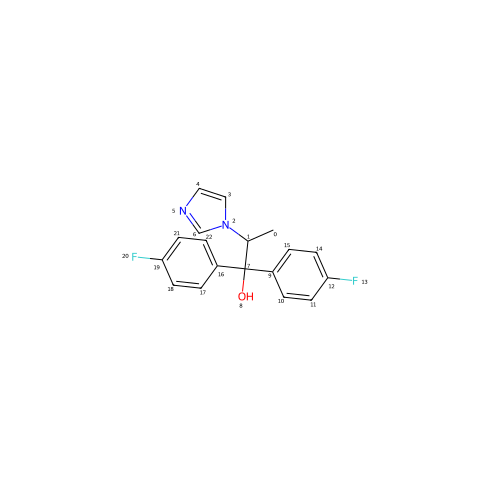 CC(n1ccnc1)C(O)(c1ccc(F)cc1)c1ccc(F)cc1